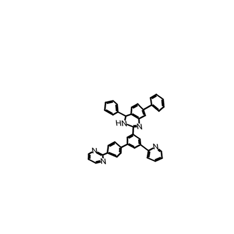 c1ccc(-c2ccc3c(c2)N=C(c2cc(-c4ccc(-c5ncccn5)cc4)cc(-c4ccccn4)c2)NC3c2ccccc2)cc1